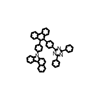 c1ccc(-c2nc(-c3ccccc3)nc(-c3ccc(-c4c(-c5ccc(-n6c7ccccc7c7c8ccccc8ccc76)cc5)c5ccccc5c5ccccc45)cc3)n2)cc1